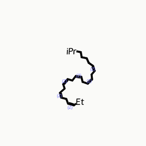 CC/C=C\C/C=C\C/C=C\C/C=C\C/C=C\C/C=C\CCCCC(C)C